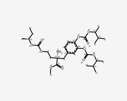 CC[C@H](C)OC(=O)OCC[C@@](N)(Cc1ccc(OC(=O)OC(C)C(C)C)c(OC(=O)OC(C)C(C)C)c1)C(=O)OC